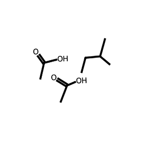 CC(=O)O.CC(=O)O.CCC(C)C